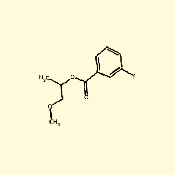 COCC(C)OC(=O)c1cccc(I)c1